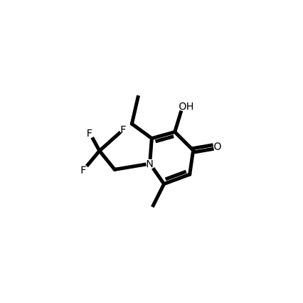 CCc1c(O)c(=O)cc(C)n1CC(F)(F)F